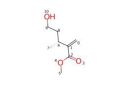 C=C(C(=O)OC)[C@H](C)CCO